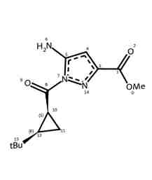 COC(=O)c1cc(N)n(C(=O)[C@H]2C[C@H]2C(C)(C)C)n1